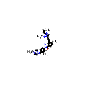 C=Nn1c(C#Cc2cc(C(=O)Nc3ccc(CN4CCN(C)CC4)c(C(F)(F)F)c3)ccc2C)cnc1/C=C\C